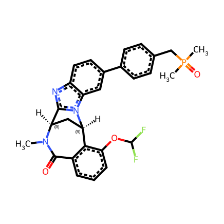 CN1C(=O)c2cccc(OC(F)F)c2[C@H]2C[C@@H]1c1nc3ccc(-c4ccc(CP(C)(C)=O)cc4)cc3n12